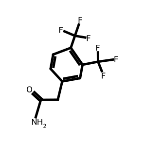 NC(=O)Cc1ccc(C(F)(F)F)c(C(F)(F)F)c1